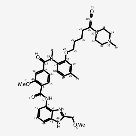 COCc1nc2c(NC(=O)c3ccc(C(=O)N(C)c4ccc(C)cc4OCCCCC(=C=O)N4CCN(C)CC4)cc3OC)cccc2[nH]1